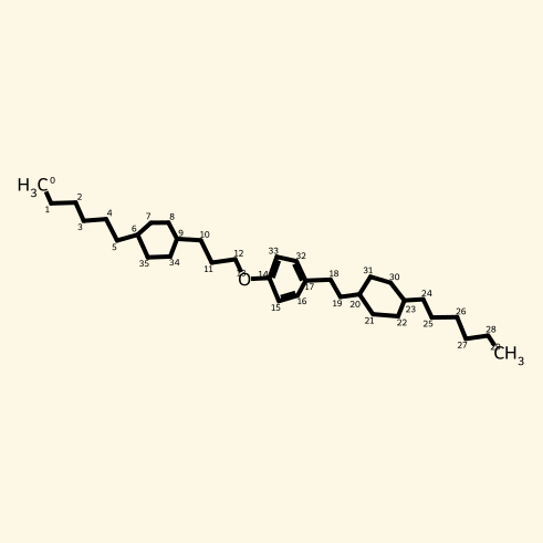 CCCCCCC1CCC(CCCOc2ccc(CCC3CCC(CCCCCC)CC3)cc2)CC1